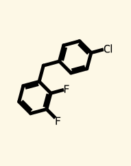 Fc1cccc(Cc2ccc(Cl)cc2)c1F